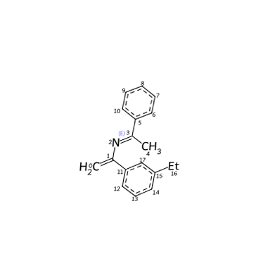 C=C(/N=C(\C)c1ccccc1)c1cccc(CC)c1